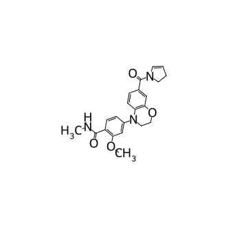 CNC(=O)c1ccc(N2CCOc3cc(C(=O)N4C=CCC4)ccc32)cc1OC